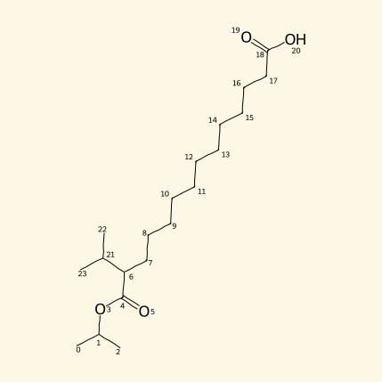 CC(C)OC(=O)C(CCCCCCCCCCCC(=O)O)C(C)C